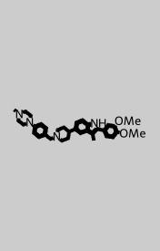 COc1ccc(-c2[nH]c3ccc(C4CCN(Cc5ccc(N6CCN(C)CC6)cc5)CC4)cc3c2C)cc1OC